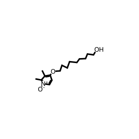 Cc1c(OCCCCCCCCCO)cc[n+]([O-])c1C